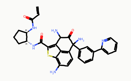 C=CC(=O)N[C@@H]1CCC[C@H]1NC(=O)c1sc2c(N)ccc3c2c1C(N)C(=O)C3(N)c1cccc(-c2ccccn2)c1